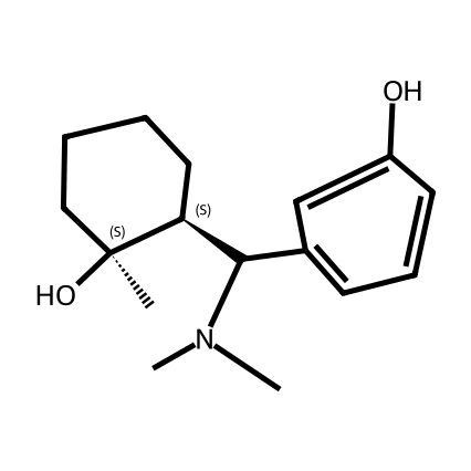 CN(C)C(c1cccc(O)c1)[C@@H]1CCCC[C@]1(C)O